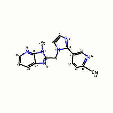 CCn1c(Cn2ccnc2-c2ccc(C#N)nc2)nc2cccnc21